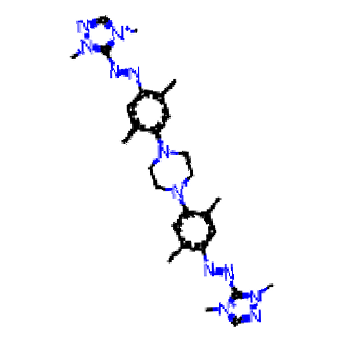 Cc1cc(N2CCN(c3cc(C)c(N=Nc4n(C)nc[n+]4C)cc3C)CC2)c(C)cc1N=Nc1n(C)nc[n+]1C